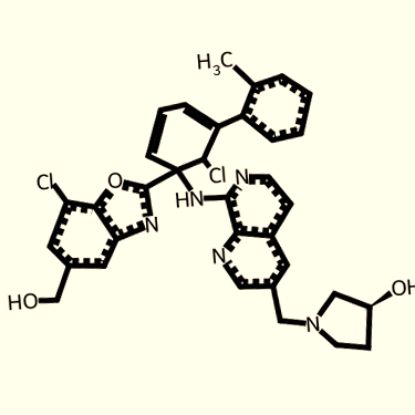 Cc1ccccc1C1=CC=CC(Nc2nccc3cc(CN4CC[C@H](O)C4)cnc23)(c2nc3cc(CO)cc(Cl)c3o2)C1Cl